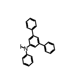 IN(c1ccccc1)c1cc(-c2ccccc2)cc(-c2ccccc2)c1